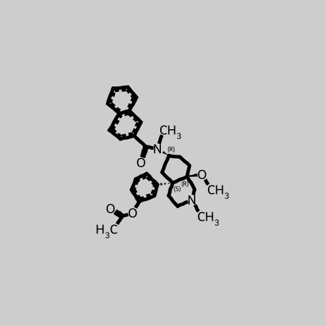 CO[C@]12CC[C@@H](N(C)C(=O)c3ccc4ccccc4c3)C[C@]1(c1cccc(OC(C)=O)c1)CCN(C)C2